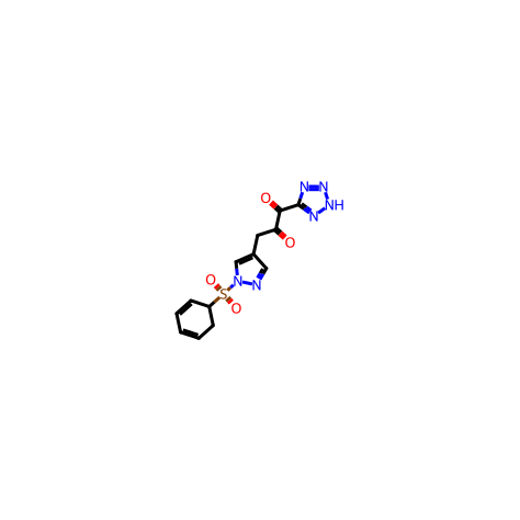 O=C(Cc1cnn(S(=O)(=O)C2C=CC=CC2)c1)C(=O)c1nn[nH]n1